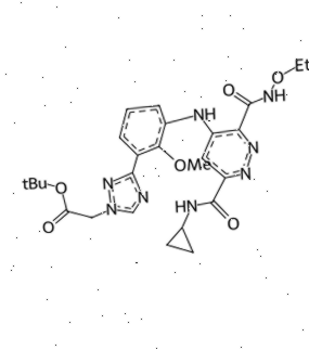 CCONC(=O)c1nnc(C(=O)NC2CC2)cc1Nc1cccc(-c2ncn(CC(=O)OC(C)(C)C)n2)c1OC